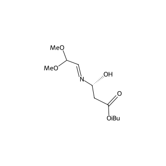 COC(/C=N/[C@H](O)CC(=O)OCC(C)C)OC